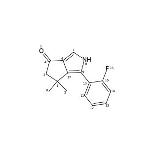 CC1(C)CC(=O)c2c[nH]c(-c3ccccc3F)c21